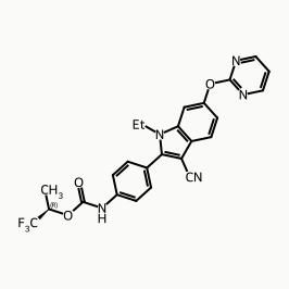 CCn1c(-c2ccc(NC(=O)O[C@H](C)C(F)(F)F)cc2)c(C#N)c2ccc(Oc3ncccn3)cc21